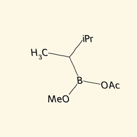 COB(OC(C)=O)C(C)C(C)C